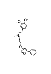 COc1ccc(CCN(C)CCCOc2cc(-c3ccccc3)on2)cc1OC